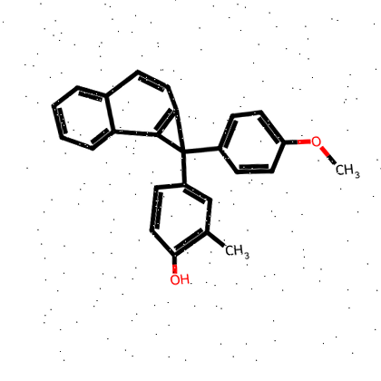 COc1ccc(C2(c3ccc(O)c(C)c3)c3ccc4ccccc4c32)cc1